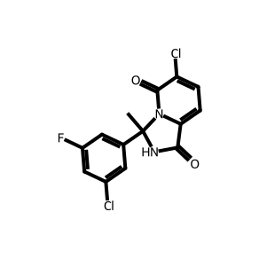 CC1(c2cc(F)cc(Cl)c2)NC(=O)c2ccc(Cl)c(=O)n21